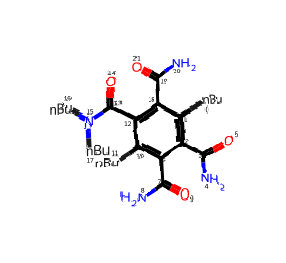 CCCCc1c(C(N)=O)c(C(N)=O)c(CCCC)c(C(=O)N(CCCC)CCCC)c1C(N)=O